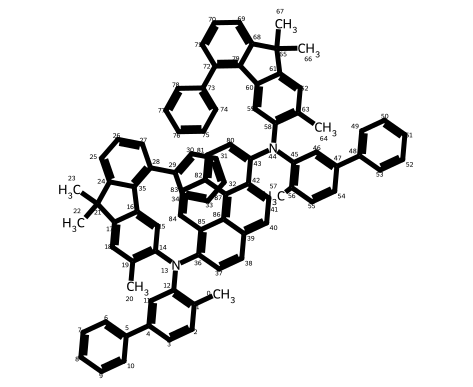 Cc1ccc(-c2ccccc2)cc1N(c1cc2c(cc1C)C(C)(C)c1cccc(-c3ccccc3)c1-2)c1ccc2ccc3c(N(c4cc(-c5ccccc5)ccc4C)c4cc5c(cc4C)C(C)(C)c4cccc(-c6ccccc6)c4-5)ccc4ccc1c2c43